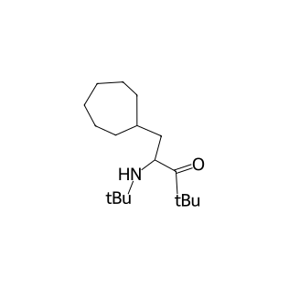 CC(C)(C)NC(CC1CCCCCC1)C(=O)C(C)(C)C